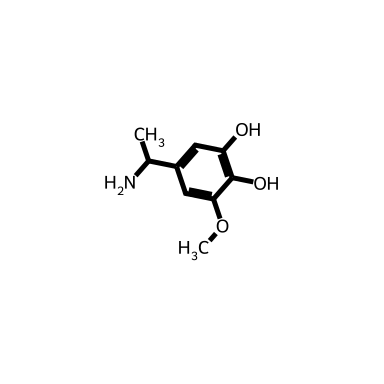 COc1cc(C(C)N)cc(O)c1O